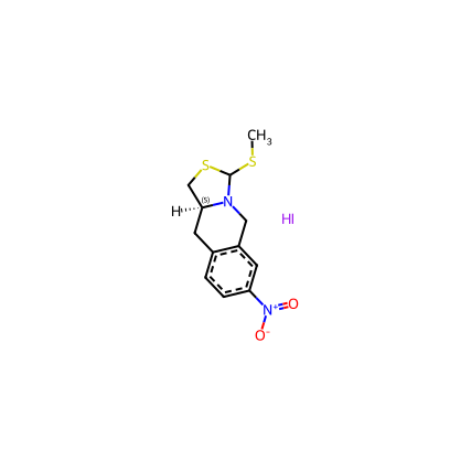 CSC1SC[C@@H]2Cc3ccc([N+](=O)[O-])cc3CN12.I